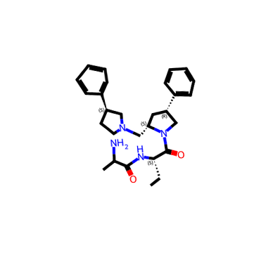 CC[C@H](NC(=O)C(C)N)C(=O)N1C[C@@H](c2ccccc2)C[C@H]1CN1CC[C@@H](c2ccccc2)C1